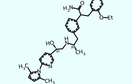 CCOc1ccccc1CC(C(N)=O)c1cccc(C[C@@H](C)NC[C@H](O)c2ccc(-n3c(C)ccc3C)nc2)c1